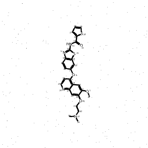 COc1cc2c(Oc3ccc4nc(NC(=O)c5cccs5)sc4c3)ccnc2cc1OCCN(C)C